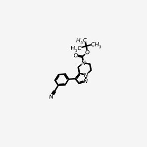 CC(C)(C)OC(=O)N1CCn2ncc(-c3cccc(C#N)c3)c2C1